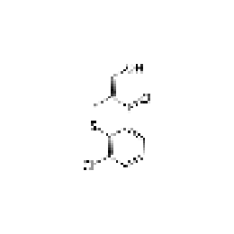 O=C1C(=CO)CSc2c(Cl)cccc21